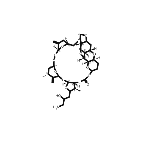 C=C1C2C[C@@H]3OC(CC(O)CN)[C@H](C)[C@H]3CC(=O)CC3CC[C@@H]4O[C@H]5CC6O[C@]7(CC[C@H]8CC(=C)[C@H](CC[C@@H](C[C@H]1C)O2)O8)C[C@@]6(C)O[C@H]5[C@@H](O7)[C@H]4O3